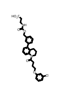 O=C(O)CCNC(=O)OCc1cccc(-c2cccc3c2CCCN3C(=O)CCCOc2cccc(Cl)c2)c1